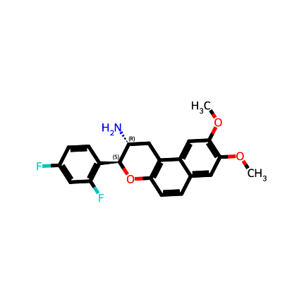 COc1cc2ccc3c(c2cc1OC)C[C@@H](N)[C@H](c1ccc(F)cc1F)O3